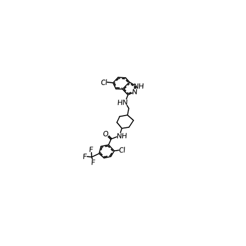 O=C(NC1CCC(CNc2n[nH]c3ccc(Cl)cc23)CC1)c1cc(C(F)(F)F)ccc1Cl